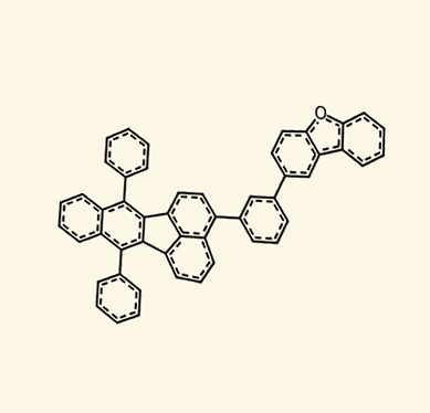 c1ccc(-c2c3c(c(-c4ccccc4)c4ccccc24)-c2ccc(-c4cccc(-c5ccc6oc7ccccc7c6c5)c4)c4cccc-3c24)cc1